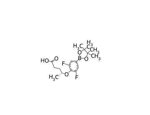 C[C@H](CCC(=O)O)Oc1c(F)cc(B2OC(C)(C)C(C)(C)O2)cc1F